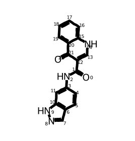 O=C(Nc1ccc2cn[nH]c2c1)c1c[nH]c2ccccc2c1=O